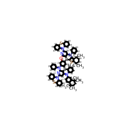 CC1(C)CCC(C)(C)c2cc(N3c4ccccc4B4c5cc6c(cc5N(c5ccccc5)c5nc(N7c8ccccc8Sc8ccccc87)cc3c54)Oc3nc(N4c5ccccc5Sc5ccccc54)cc4c3B6c3sc5c(c3N4c3ccccc3)C(C)(C)CCC5(C)C)ccc21